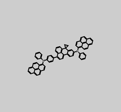 c1ccc(N(c2ccc(-c3ccc4c5c(cccc35)C3(CC3)c3cc(N(c5ccccc5)c5ccc6ccc7cccc8ccc5c6c78)ccc3-4)cc2)c2ccc3ccc4cccc5ccc2c3c45)cc1